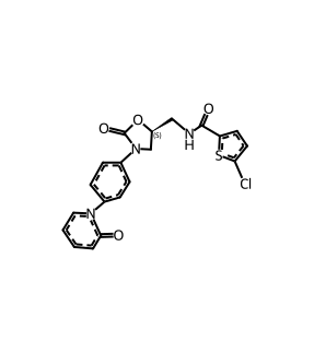 O=C(NC[C@H]1CN(c2ccc(-n3ccccc3=O)cc2)C(=O)O1)c1ccc(Cl)s1